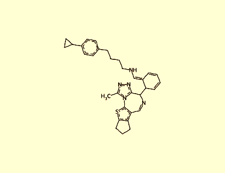 Cc1nnc2n1-c1sc3c(c1C=NC2C1C=CC=CC1=CNCCCCc1ccc(C2CC2)cc1)CCC3